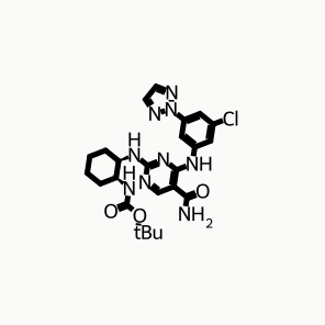 CC(C)(C)OC(=O)N[C@H]1CCCC[C@H]1Nc1ncc(C(N)=O)c(Nc2cc(Cl)cc(-n3nccn3)c2)n1